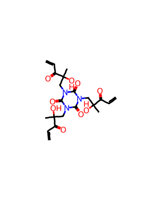 C=CC(=O)C(C)(O)Cn1c(=O)n(CC(C)(O)C(=O)C=C)c(=O)n(CC(C)(O)C(=O)C=C)c1=O